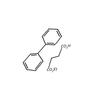 CCOC(=O)CCC(=O)O.c1ccc(-c2ccccc2)cc1